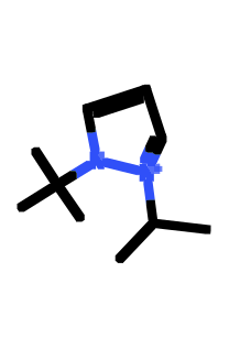 CC(C)[n+]1cccn1C(C)(C)C